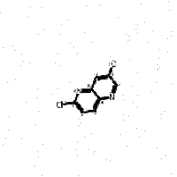 Clc1cnc2ccc(Cl)nc2c1